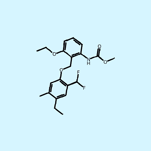 CCOc1cccc(NC(=O)OC)c1COc1cc(C)c(CC)cc1C(F)F